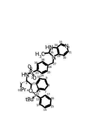 CC(C)C[C@@H](CO[Si](c1ccccc1)(c1ccccc1)C(C)(C)C)NS(=O)(=O)c1ccc(CN2c3ccncc3NC2C)cc1